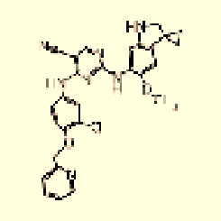 COc1cc2c(cc1Nc1ncc(C#N)c(Nc3ccc(OCc4ccccn4)c(Cl)c3)n1)NCC21CC1